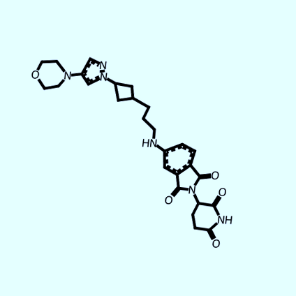 O=C1CCC(N2C(=O)c3ccc(NCCCC4CC(n5cc(N6CCOCC6)cn5)C4)cc3C2=O)C(=O)N1